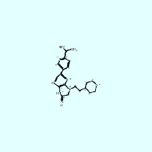 CC(O)c1ccc(-c2cnc3c(n2)N(CCC2CCOCC2)CC(=O)N3)cn1